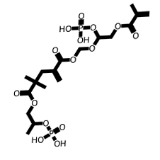 C=C(C)C(=O)OCC(OCOC(=O)C(=C)CC(C)(C)C(=O)OCC(C)OP(=O)(O)O)OP(=O)(O)O